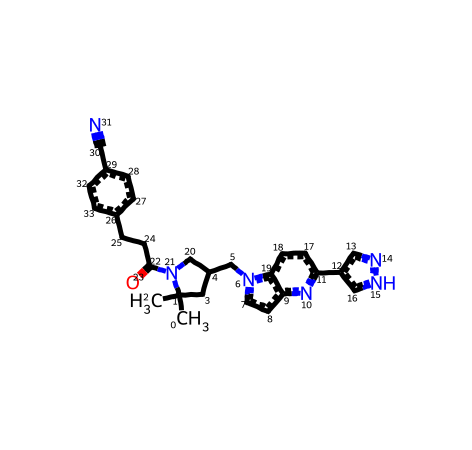 CC1(C)CC(Cn2ccc3nc(-c4cn[nH]c4)ccc32)CN1C(=O)CCc1ccc(C#N)cc1